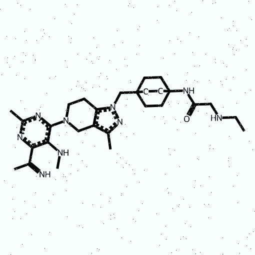 CCNCC(=O)NC12CCC(Cn3nc(C)c4c3CCN(c3nc(C)nc(C(C)=N)c3NC)C4)(CC1)CC2